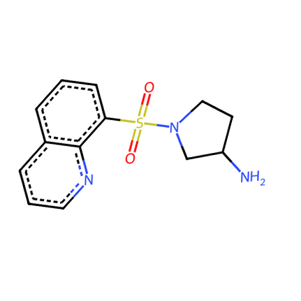 NC1CCN(S(=O)(=O)c2cccc3cccnc23)C1